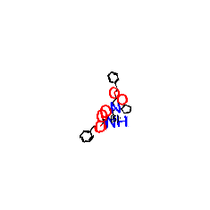 C[C@H](NC(=O)OCc1ccccc1)C(=O)N(CC(=O)OCc1ccccc1)C1CCCC1